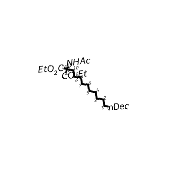 CCCCCCCCCCCCCCCCCCCCC(NC(C)=O)(C(=O)OCC)C(=O)OCC